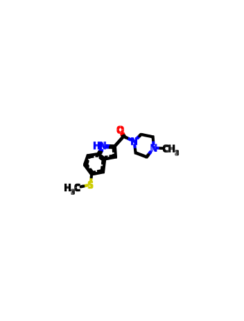 CSc1ccc2[nH]c(C(=O)N3CCN(C)CC3)cc2c1